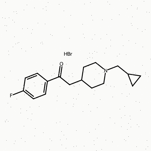 Br.O=C(CC1CCN(CC2CC2)CC1)c1ccc(F)cc1